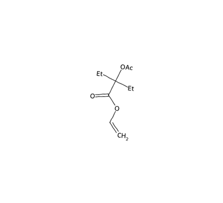 C=COC(=O)C(CC)(CC)OC(C)=O